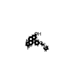 C[C@]12C[C@H](c3ccc(OCCN4CCCC4)cc3)[C@@H]3c4ccc(O)cc4CC[C@H]3[C@@H]1CC[C@H]2F